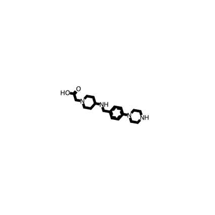 O=C(O)CN1CCC(NCc2ccc(N3CCNCC3)cc2)CC1